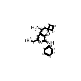 CC(C)(C)Cc1cc2c(c(Nc3ccccc3)n1)OC1(CCC1)C[C@@H]2N